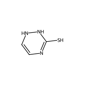 SC1=NC=CNN1